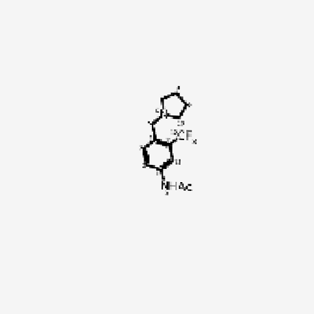 CC(=O)Nc1ccc(CN2CCCC2)c(C(F)(F)F)c1